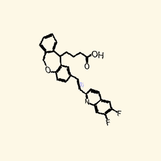 O=C(O)CCCC1c2ccccc2COc2ccc(/C=C/c3ccc4cc(F)c(F)cc4n3)cc21